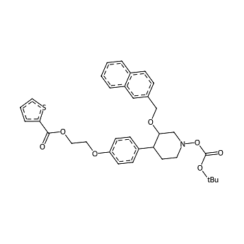 CC(C)(C)OC(=O)ON1CCC(c2ccc(OCCOC(=O)c3cccs3)cc2)C(OCc2ccc3ccccc3c2)C1